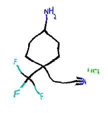 Cl.N#CCC1(C(F)(F)F)CCC(N)CC1